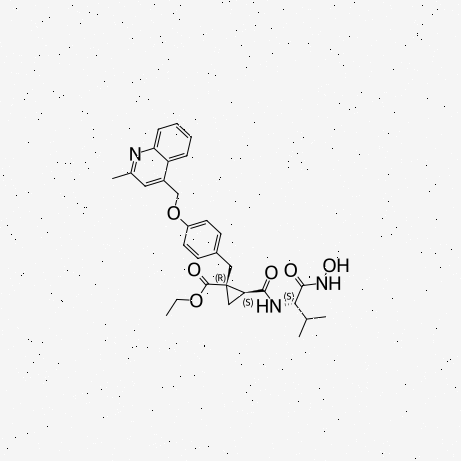 CCOC(=O)[C@@]1(Cc2ccc(OCc3cc(C)nc4ccccc34)cc2)C[C@@H]1C(=O)N[C@H](C(=O)NO)C(C)C